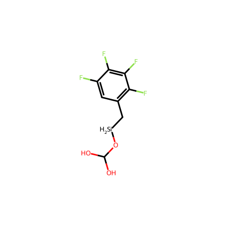 OC(O)O[SiH2]Cc1cc(F)c(F)c(F)c1F